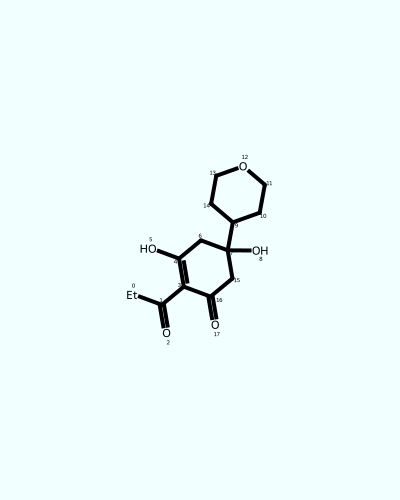 CCC(=O)C1=C(O)CC(O)(C2CCOCC2)CC1=O